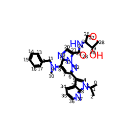 CC(C)n1cc(-c2cc(N(C)Cc3ccccc3)c3ncc(C(=O)N[C@H]4COC[C@H]4O)n3n2)c2cccnc21